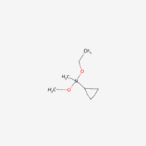 CCO[Si](C)(OC)C1CC1